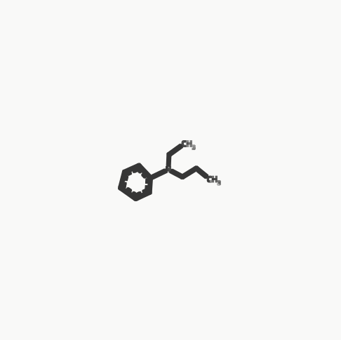 CCCN(CC)c1ccccc1